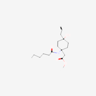 C=CCC1(O)CCC(CC(=O)OC)(NC(=O)CCCCC)CC1